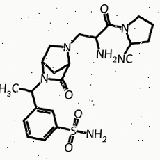 CC(c1cccc(S(N)(=O)=O)c1)N1C(=O)C2CC1CN2CC(N)C(=O)N1CCCC1C#N